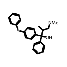 CNCC(C)C(O)(c1ccccc1)c1ccc(Sc2ccccc2)cc1